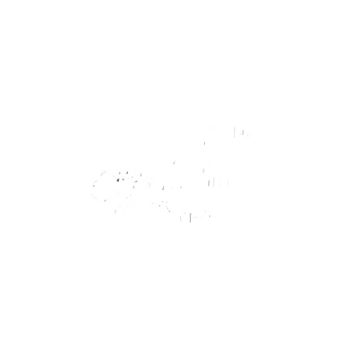 CO[C@@H]1[C@@H](CS(=O)(=O)c2ccc(C)cc2)[C@H](CC=O)O[C@@H]1CC(CO[Si](C)(C)C(C)(C)C)O[Si](C)(C)C(C)(C)C